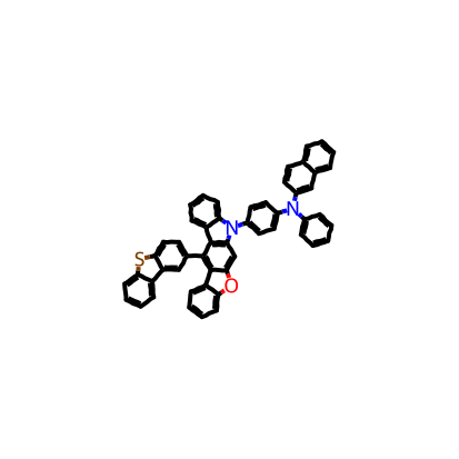 c1ccc(N(c2ccc(-n3c4ccccc4c4c(-c5ccc6sc7ccccc7c6c5)c5c(cc43)oc3ccccc35)cc2)c2ccc3ccccc3c2)cc1